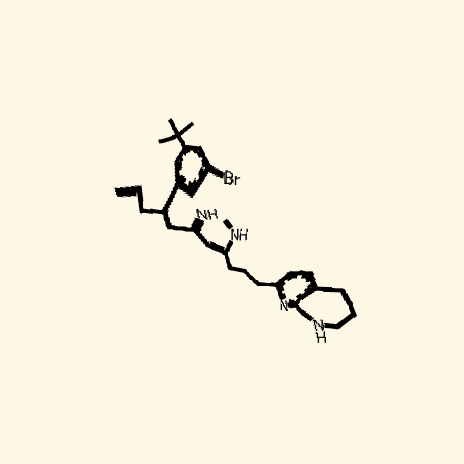 C=CCC(CC(=N)/C=C(/CCCc1ccc2c(n1)NCCC2)NC)c1cc(Br)cc(C(C)(C)C)c1